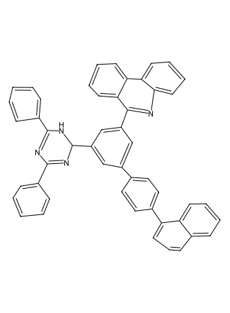 c1ccc(C2=NC(c3cc(-c4ccc(-c5cccc6ccccc56)cc4)cc(-c4nc5ccccc5c5ccccc45)c3)NC(c3ccccc3)=N2)cc1